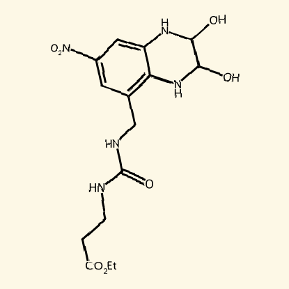 CCOC(=O)CCNC(=O)NCc1cc([N+](=O)[O-])cc2c1NC(O)C(O)N2